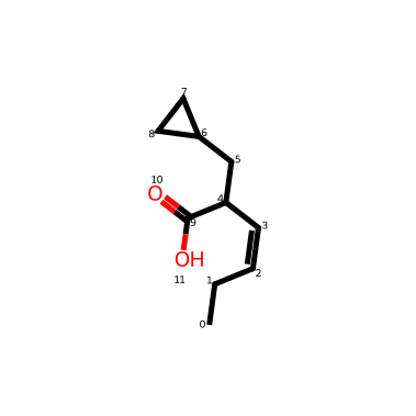 CC/C=C\C(CC1CC1)C(=O)O